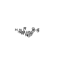 COc1ncc(-c2cc(CN3CCC3)c3c(N)ncnn23)cc1C(=O)N[C@@H]1CN(C(=O)C2CC(F)(F)C2)C[C@@H]1F